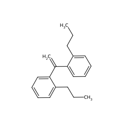 C=C(c1ccccc1CCC)c1ccccc1CCC